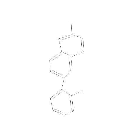 Clc1ccc2cc(-c3ccccc3Br)ccc2c1